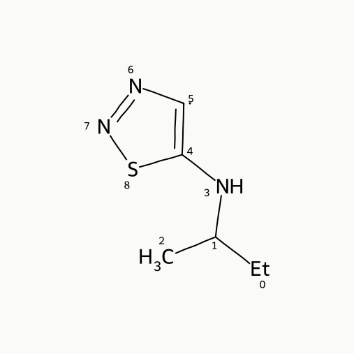 CCC(C)Nc1[c]nns1